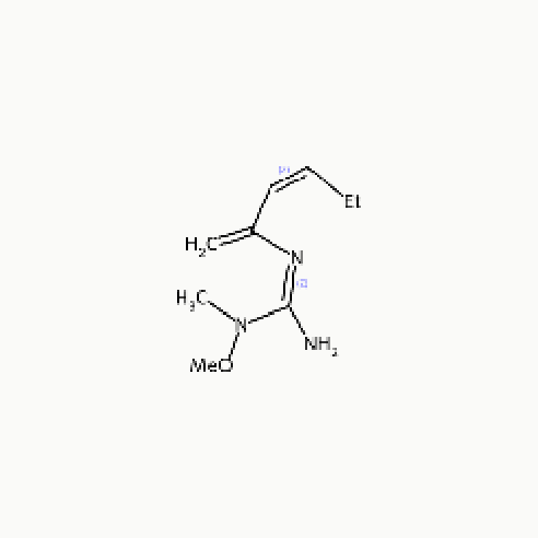 C=C(/C=C\CC)/N=C(/N)N(C)OC